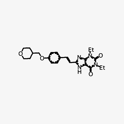 CCn1c(=O)c2[nH]c(/C=C/c3ccc(OCC4CCOCC4)cc3)nc2n(CC)c1=O